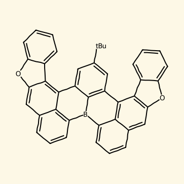 CC(C)(C)c1cc2c3c(c1)-c1c4c(cccc4cc4oc5ccccc5c14)B3c1cccc3cc4oc5ccccc5c4c-2c13